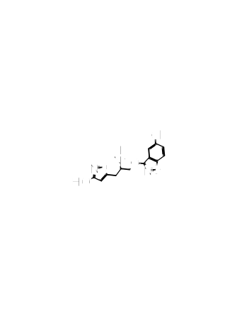 NC(COc1noc2ccc(Cl)cc12)Cc1cc(O)no1